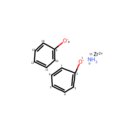 N.[O-]c1ccccc1.[O-]c1ccccc1.[Zr+2]